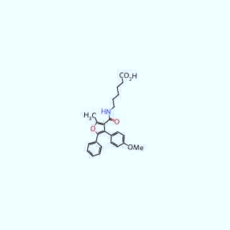 COc1ccc(-c2c(-c3ccccc3)oc(C)c2C(=O)NCCCCCC(=O)O)cc1